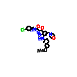 COc1ccc(CCC(C)Nc2cc(CN3CCOCC3)cc3c(=O)c(C(=O)NCc4ccc(Cl)cc4)nn(C)c23)cc1